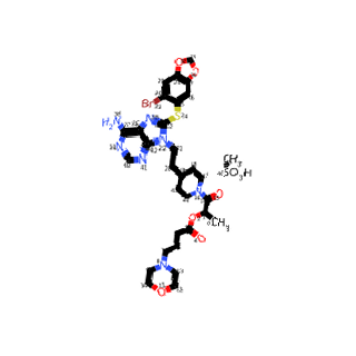 CC(OC(=O)CCCN1CCOCC1)C(=O)N1CCC(CCn2c(Sc3cc4c(cc3Br)OCO4)nc3c(N)ncnc32)CC1.CS(=O)(=O)O